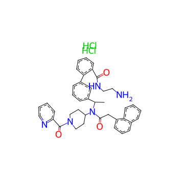 CC(c1cccc(-c2ccccc2C(=O)NCCN)c1)N(C(=O)Cc1cccc2ccccc12)C1CCN(C(=O)c2ccccn2)CC1.Cl.Cl